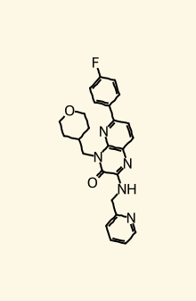 O=c1c(NCc2ccccn2)nc2ccc(-c3ccc(F)cc3)nc2n1CC1CCOCC1